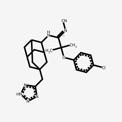 CC(C)(Oc1ccc(Cl)cc1)/C(=N/C#N)NC1C2CC3CC1CC(Cc1nn[nH]n1)(C3)C2